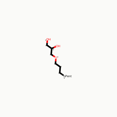 CCCCCCCCO[CH]C(O)CO